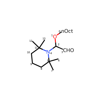 CCCCCCCCOC(C=O)N1C(C)(C)CCCC1(C)C